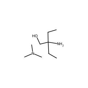 CCC(N)(CC)CO.CN(C)C